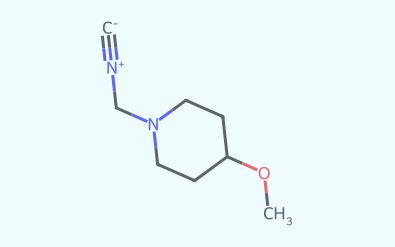 [C-]#[N+]CN1CCC(OC)CC1